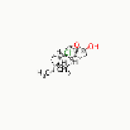 CC=C1CC[C@H]2[C@@H]3CC4OC[C@@]5(CC[C@H](O)C[C@]45Cl)[C@H]3CC[C@]12C